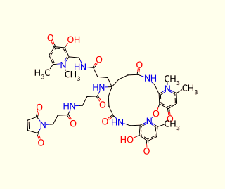 Cc1cc(=O)c(O)c(CNC(=O)CCC2(NC(=O)CCNC(=O)CCN3C(=O)C=CC3=O)CCC(=O)NCc3c(c(=O)cc(C)n3C)On3c(C)cc(=O)c(O)c3CNC(=O)CC2)n1C